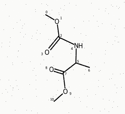 COC(=O)NC(C)C(=O)OC